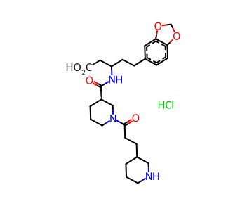 Cl.O=C(O)CC(CCc1ccc2c(c1)OCO2)NC(=O)[C@@H]1CCCN(C(=O)CCC2CCCNC2)C1